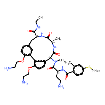 CCCCCCSc1ccc(C(=O)N[C@@H](CCN)C(=O)N(C)[C@@H]2C(=O)N[C@@H](C)C(=O)N[C@H](C(=O)NCC#N)Cc3ccc(OCCN)c(c3)-c3cc2ccc3OCCN)c(C)c1